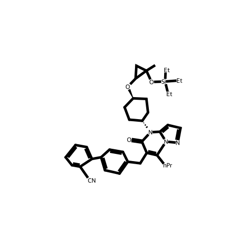 CCCc1c(Cc2ccc(-c3ccccc3C#N)cc2)c(=O)n([C@H]2CC[C@H](OC3CC3(C)O[Si](CC)(CC)CC)CC2)c2ccnn12